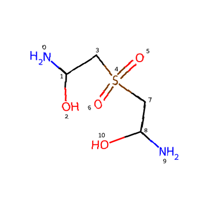 NC(O)CS(=O)(=O)CC(N)O